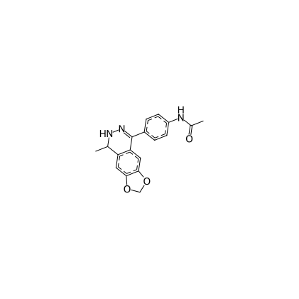 CC(=O)Nc1ccc(C2=NNC(C)c3cc4c(cc32)OCO4)cc1